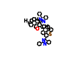 CC1(C)c2ccccc2C2(c3ccccc3Oc3c(CC4(C)c5ccccc5C5(c6ccccc6Sc6cc(-c7nc(-c8ccccc8)nc8ccccc78)ccc65)c5ccccc54)cc(-c4nc(-c5ccccc5)c5ccccc5n4)cc32)c2ccccc21